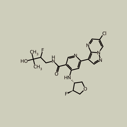 CC(C)(O)C(F)CNC(=O)c1cnc(-c2cnn3cc(Cl)cnc23)cc1N[C@@H]1COC[C@H]1F